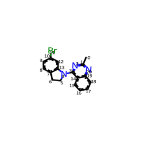 Cc1nc(N2CCc3ccc(Br)cc32)c2ccccc2n1